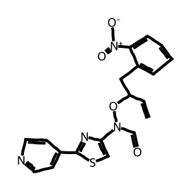 C=CC(Cc1ccccc1[N+](=O)[O-])ON(C=O)c1csc(-c2ccncc2)n1